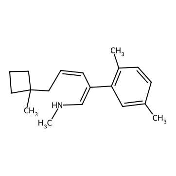 CN/C=C(\C=C/CC1(C)CCC1)c1cc(C)ccc1C